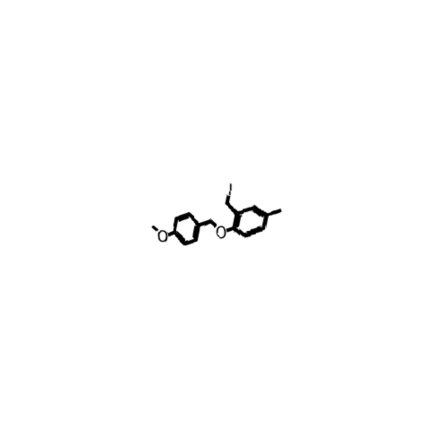 COc1ccc(COc2ccc(C)cc2CI)cc1